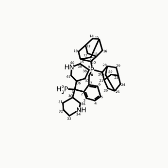 PC(c1ccccc1CP(C1C2CC3CC(C2)CC1C3)C1C2CC3CC(C2)CC1C3)(C1CCCNC1)C1CCCNC1